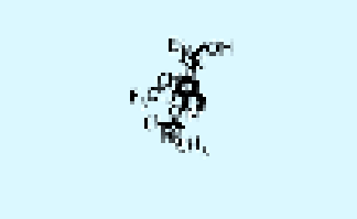 CCN1CN(c2cc(O[C@@H](C)C(F)(F)F)c3c(Oc4cn(C)nc4Cl)nccc3c2)N=C1CO